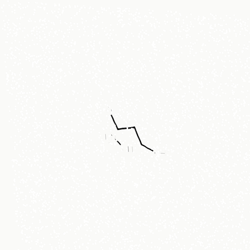 CCCC[O].CN